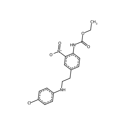 CCOC(=O)Nc1ccc(CCNc2ccc(Cl)cc2)cc1[N+](=O)[O-]